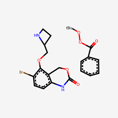 CC(C)(C)OOC(=O)c1ccccc1.O=C1Nc2ccc(Br)c(OCC3CCN3)c2CO1